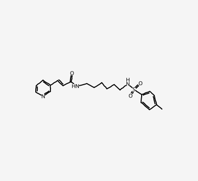 Cc1ccc(S(=O)(=O)NCCCCCCNC(=O)C=Cc2cccnc2)cc1